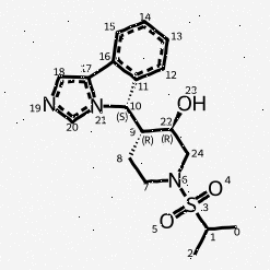 CC(C)S(=O)(=O)N1CC[C@H]([C@H]2c3ccccc3-c3cncn32)[C@@H](O)C1